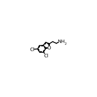 NCCc1cc2cc(Cl)cc(Cl)c2o1